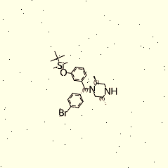 C[C@@H]1CN([C@H](c2ccc(Br)cc2)c2cccc(O[Si](C)(C)C(C)(C)C)c2)[C@@H](C)CN1